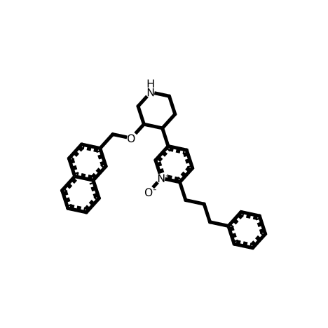 [O-][n+]1cc(C2CCNCC2OCc2ccc3ccccc3c2)ccc1CCCc1ccccc1